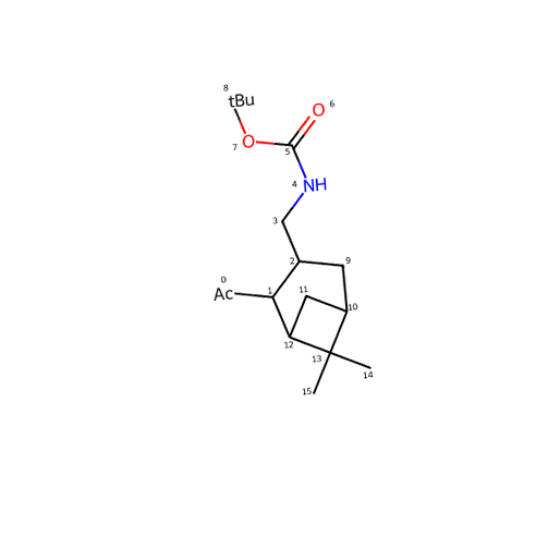 CC(=O)C1C(CNC(=O)OC(C)(C)C)CC2CC1C2(C)C